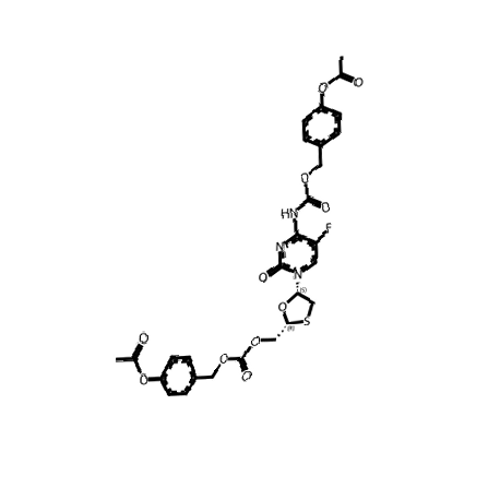 CC(=O)Oc1ccc(COC(=O)Nc2nc(=O)n([C@@H]3CS[C@H](COC(=O)OCc4ccc(OC(C)=O)cc4)O3)cc2F)cc1